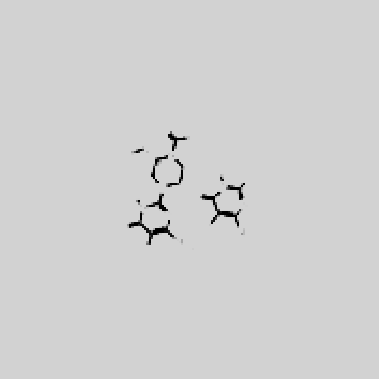 Cn1c(N2CCN(C(=O)O)[C@@H](CO)C2)nc(N)c(I)c1=O.Cn1c(O)nc(N)c(I)c1=O